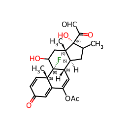 CC(=O)OC1=C[C@H]2[C@@H]3CC(C)[C@](O)(C(=O)C=O)[C@@]3(C)CC(O)[C@]2(F)[C@@]2(C)C=CC(=O)C=C12